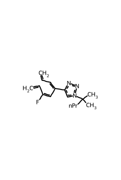 C=C/C=C(\C=C(\F)C=C)c1cn(C(C)(C)CCC)nn1